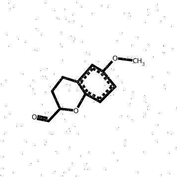 COc1ccc2c(c1)CCC(C=O)O2